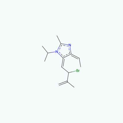 C=C(C)C(Br)/C=c1\c(=C/C)nc(C)n1C(C)C